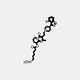 CCCCCCCCCCCCCCCC(=O)OC1CCCn2c1nc(C)c(CCN1CCC(c3noc4cccc(F)c34)CC1)c2=O